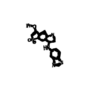 CC(C)OC1=CS(=O)(=O)c2cc3c(Nc4ccc5scnc5c4)ccnc3cc21